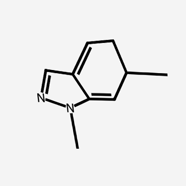 CC1C=c2c(cnn2C)=CC1